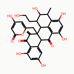 C=C1C(=O)c2c(O)cc(O)cc2C2C(=O)c3c(O)cc(O)c4c3C(C(CCO)C(O)C4C)C12Cc1cc(O)cc(=O)o1